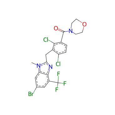 Cn1c(Cc2c(Cl)ccc(C(=O)N3CCOCC3)c2Cl)nc2c(C(F)(F)F)cc(Br)cc21